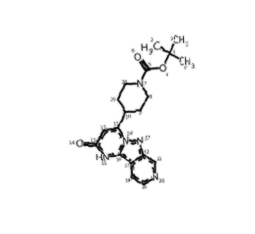 CC(C)(C)OC(=O)N1CCC(c2cc(=O)[nH]c3c4ccncc4nn23)CC1